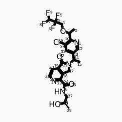 CC(OCC(F)(F)C(F)F)c1ncc(C(C)N2Cc3c(ccnc3C(=O)NC[C@@H](C)O)C2=O)cc1Cl